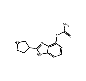 NC(=O)Oc1cccc2[nH]c(C3CCNC3)nc12